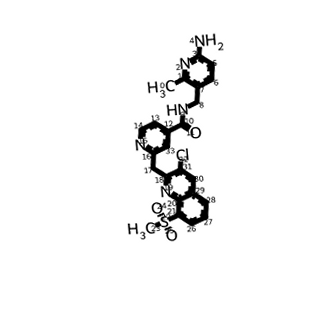 Cc1nc(N)ccc1CNC(=O)c1ccnc(Cc2nc3c(S(C)(=O)=O)cccc3cc2Cl)c1